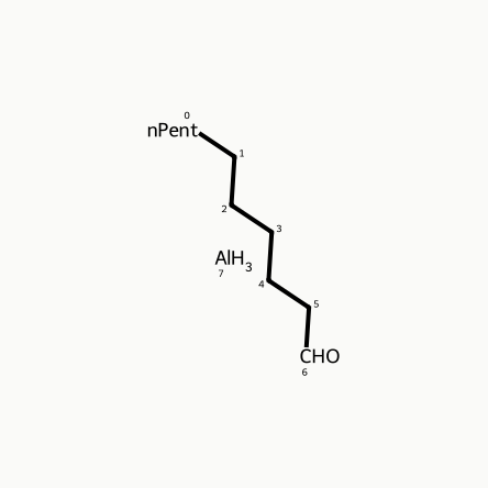 CCCCCCCCCCC=O.[AlH3]